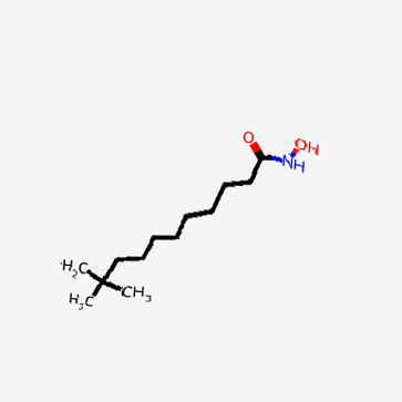 [CH2]C(C)(C)CCCCCCCCC(=O)NO